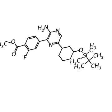 COC(=O)c1ccc(-c2nc(C3CCCC(O[Si](C)(C)C(C)(C)C)C3)cnc2N)cc1F